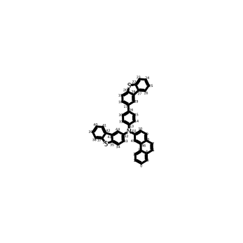 c1ccc2c(c1)ccc1ccc(N(c3ccc(-c4ccc5sc6ccccc6c5c4)cc3)c3ccc4sc5ccccc5c4c3)cc12